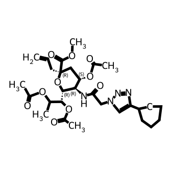 C=CC[C@]1(C(=O)OC)C[C@H](OC(C)=O)[C@@H](NC(=O)Cn2cc(C3CCCCC3)nn2)[C@H](C(OC(C)=O)C(C)OC(C)=O)O1